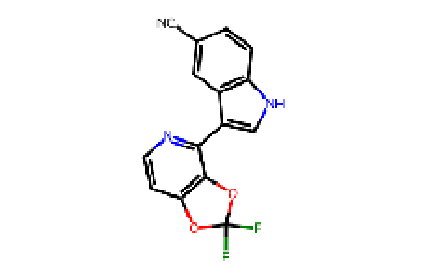 N#Cc1ccc2[nH]cc(-c3nccc4c3OC(F)(F)O4)c2c1